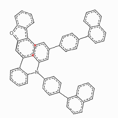 c1cc(-c2ccc(-c3cccc4ccccc34)cc2)cc(N(c2ccc(-c3cccc4ccccc34)cc2)c2ccccc2-c2ccc3c(c2)oc2ccccc23)c1